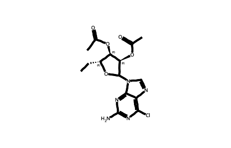 CC[C@H]1OC(n2cnc3c(Cl)nc(N)nc32)[C@H](OC(C)=O)[C@@H]1OC(C)=O